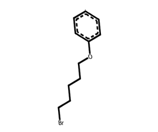 BrCCCCCOc1cc[c]cc1